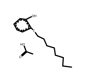 CC(=O)O.CCCCCCCCCc1ccccc1O